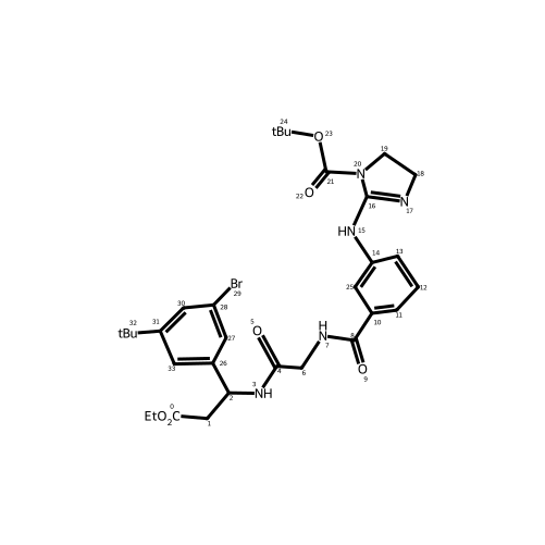 CCOC(=O)CC(NC(=O)CNC(=O)c1cccc(NC2=NCCN2C(=O)OC(C)(C)C)c1)c1cc(Br)cc(C(C)(C)C)c1